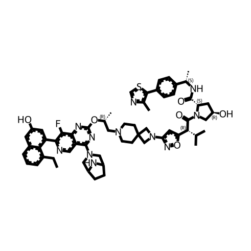 CCc1cccc2cc(O)cc(-c3ncc4c(N5CC6CCC(C5)N6)nc(O[C@H](C)CN5CCC6(CC5)CN(c5cc([C@H](C(=O)N7C[C@H](O)C[C@H]7C(=O)N[C@@H](C)c7ccc(-c8scnc8C)cc7)C(C)C)on5)C6)nc4c3F)c12